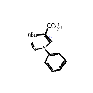 C=NN(/C=C(\CCCC)C(=O)O)c1ccccc1